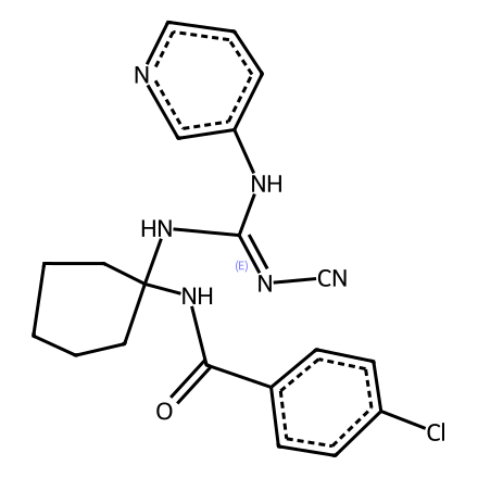 N#C/N=C(\Nc1cccnc1)NC1(NC(=O)c2ccc(Cl)cc2)CCCCC1